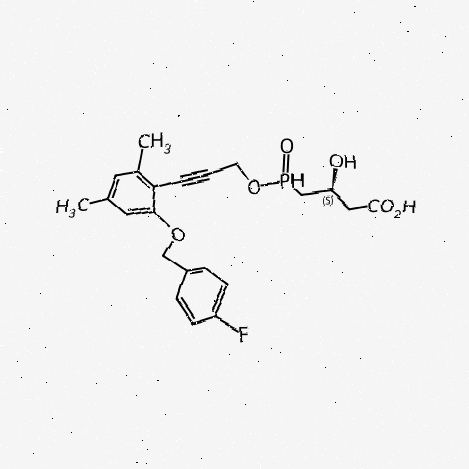 Cc1cc(C)c(C#CCO[PH](=O)C[C@@H](O)CC(=O)O)c(OCc2ccc(F)cc2)c1